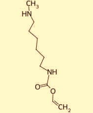 C=COC(=O)NCCCCCCNC